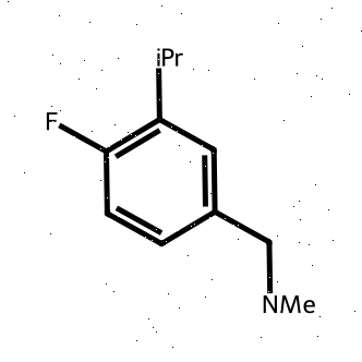 CNCc1ccc(F)c(C(C)C)c1